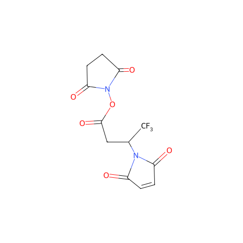 O=C(CC(N1C(=O)C=CC1=O)C(F)(F)F)ON1C(=O)CCC1=O